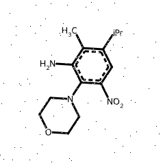 Cc1c(C(C)C)cc([N+](=O)[O-])c(N2CCOCC2)c1N